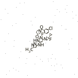 Cc1cc(Nc2cc(N3CC(F)(C4CC4)C3)nc(OC3CCN(C(=O)c4cc(Cl)ccc4F)C3)n2)[nH]n1